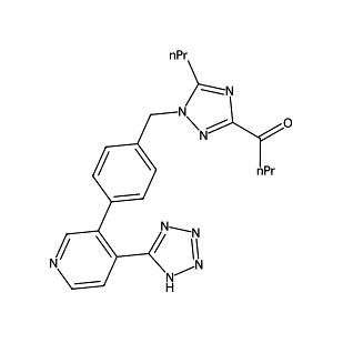 CCCC(=O)c1nc(CCC)n(Cc2ccc(-c3cnccc3-c3nnn[nH]3)cc2)n1